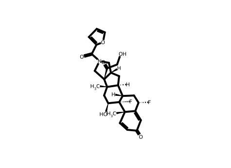 C[C@]12C=CC(=O)C=C1[C@@H](F)C[C@H]1[C@@H]3C[C@H]4CN(C(=O)c5ccco5)C[C@@]4(C(=O)CO)[C@@]3(C)C[C@H](O)[C@@]12F